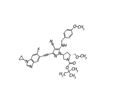 COC[C@H]1C[C@H](n2nc(C#Cc3cc4ncn(C5CC5)c4cc3F)c(C#N)c2NCc2ccc(OC)cc2)CN1C(=O)OC(C)(C)C